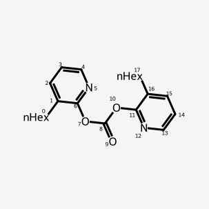 CCCCCCc1cccnc1OC(=O)Oc1ncccc1CCCCCC